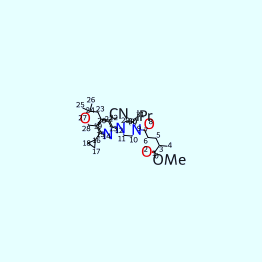 COC(=O)C(C)CCC(=O)N1CCN(c2nc(C3CC3)c3c(c2C#N)CC(C)(C)OC3)C[C@H]1C(C)C